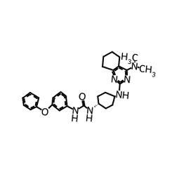 CN(C)c1nc(N[C@H]2CC[C@@H](NC(=O)Nc3cccc(Oc4ccccc4)c3)CC2)nc2c1CCCC2